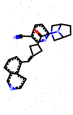 N#Cc1ccc(N2C3CCC2CN(C(=O)C2CC(=Cc4cccc5cnccc45)C2)C3)nc1